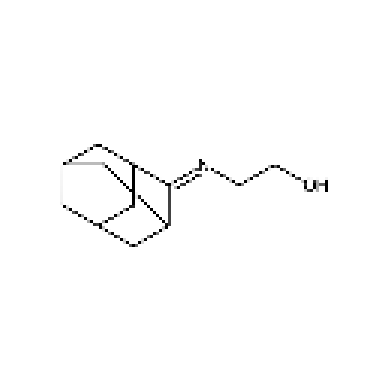 OCCN=C1C2CC3CC(C2)CC1C3